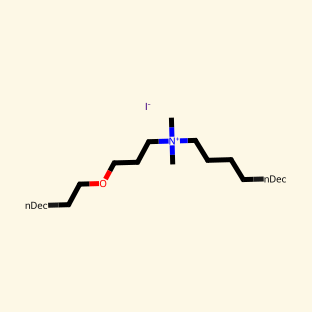 CCCCCCCCCCCCCC[N+](C)(C)CCCOCCCCCCCCCCCC.[I-]